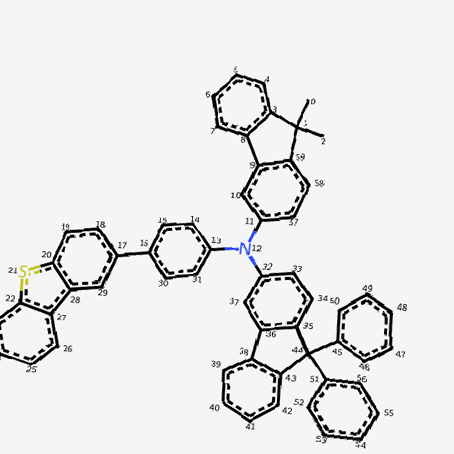 CC1(C)c2ccccc2-c2cc(N(c3ccc(-c4ccc5sc6ccccc6c5c4)cc3)c3ccc4c(c3)-c3ccccc3C4(c3ccccc3)c3ccccc3)ccc21